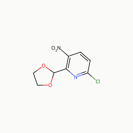 O=[N+]([O-])c1ccc(Cl)nc1C1OCCO1